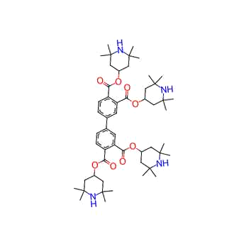 CC1(C)CC(OC(=O)c2ccc(-c3ccc(C(=O)OC4CC(C)(C)NC(C)(C)C4)c(C(=O)OC4CC(C)(C)NC(C)(C)C4)c3)cc2C(=O)OC2CC(C)(C)NC(C)(C)C2)CC(C)(C)N1